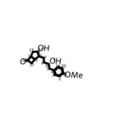 COc1ccc(CC(O)CCC2C(O)CC3C(=O)CC32)cc1